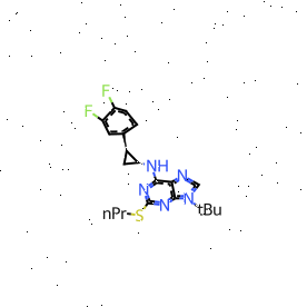 CCCSc1nc(N[C@@H]2C[C@H]2c2ccc(F)c(F)c2)c2ncn(C(C)(C)C)c2n1